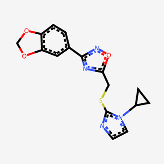 c1cn(C2CC2)c(SCc2nc(-c3ccc4c(c3)OCO4)no2)n1